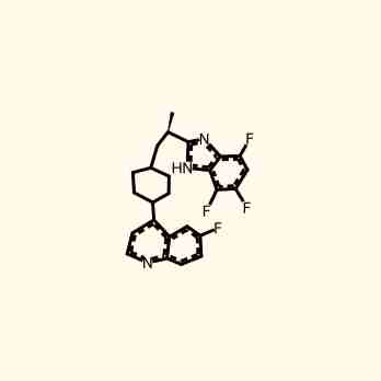 C[C@H](CC1CCC(c2ccnc3ccc(F)cc23)CC1)c1nc2c(F)cc(F)c(F)c2[nH]1